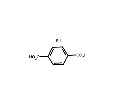 O=C(O)c1ccc(C(=O)O)cc1.[Pd]